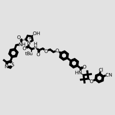 Cc1ncsc1-c1ccc(CNC(=O)[C@@H]2C[C@@H](O)CN2C(=O)[C@@H](NC(=O)COCCOc2ccc(-c3ccc(C(=O)N[C@H]4C(C)(C)[C@H](Oc5ccc(C#N)c(Cl)c5)C4(C)C)cc3)cc2)C(C)(C)C)cc1